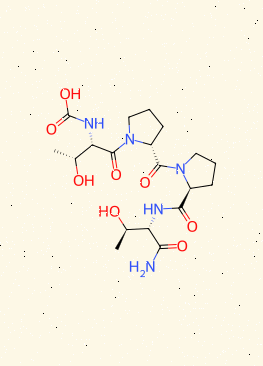 C[C@@H](O)[C@H](NC(=O)[C@@H]1CCCN1C(=O)[C@H]1CCCN1C(=O)[C@@H](NC(=O)O)[C@@H](C)O)C(N)=O